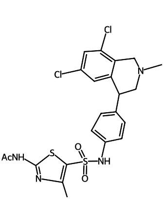 CC(=O)Nc1nc(C)c(S(=O)(=O)Nc2ccc(C3CN(C)Cc4c(Cl)cc(Cl)cc43)cc2)s1